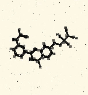 CC(=O)Nc1cc(C(=O)NC(C)c2ccc(OCC(F)(F)C(F)F)nc2)ccn1